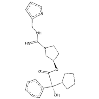 N=C(NCc1cccs1)N1CC[C@@H](OC(=O)[C@](O)(c2ccccc2)C2CCCC2)C1